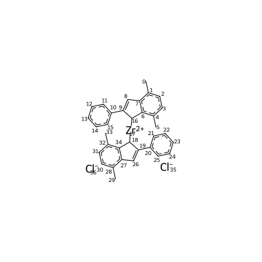 Cc1ccc(C)c2c1C=C(c1ccccc1)[CH]2[Zr+2][CH]1C(c2ccccc2)=Cc2c(C)ccc(C)c21.[Cl-].[Cl-]